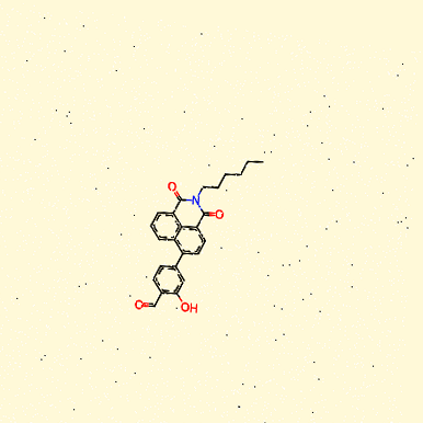 CCCCCCN1C(=O)c2cccc3c(-c4ccc(C=O)c(O)c4)ccc(c23)C1=O